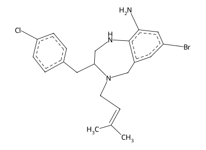 CC(C)=CCN1Cc2cc(Br)cc(N)c2NCC1Cc1ccc(Cl)cc1